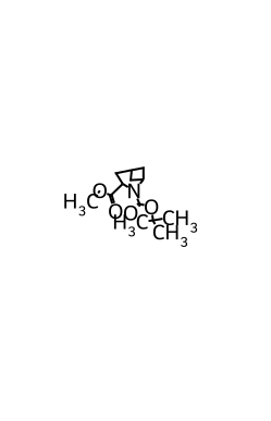 COC(=O)C1CC2CC(C2)N1C(=O)OC(C)(C)C